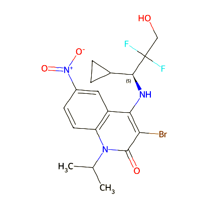 CC(C)n1c(=O)c(Br)c(N[C@@H](C2CC2)C(F)(F)CO)c2cc([N+](=O)[O-])ccc21